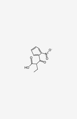 CCC(C(=O)O)C(=O)c1ccccc1[N+](=O)[O-]